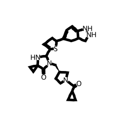 O=C(C1CC1)N1CC[C@@H](CN2C(=O)C3(CC3)NC2C2=CCC(C3=CC=C4NNCC4C3)S2)C1